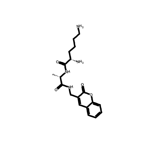 C[C@H](NC(=O)[C@@H](N)CCCCN)C(=O)NCc1cc2ccccc2oc1=O